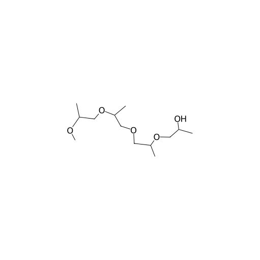 COC(C)COC(C)COCC(C)OCC(C)O